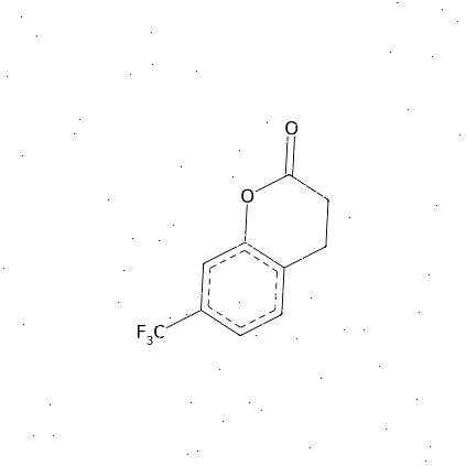 O=C1CCc2ccc(C(F)(F)F)cc2O1